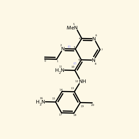 C=C/N=C1/C(NC)=NC=N/C1=C(/N)Nc1cc(N)ccc1C